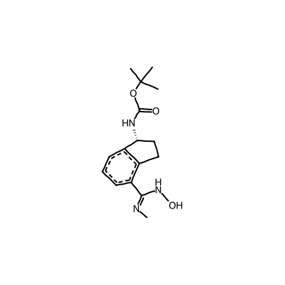 C/N=C(\NO)c1cccc2c1CC[C@H]2NC(=O)OC(C)(C)C